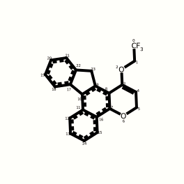 FC(F)(F)COC1=CCOc2c1c1c(c3ccccc23)-c2ccccc2C1